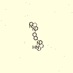 C1=CNC2C(=C1)C=Cc1ccc(-c3ccc4ccc(-c5ccc6c(n5)-c5ncccc5CC6)cc4c3)nc12